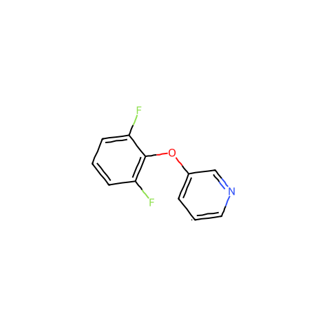 Fc1cccc(F)c1Oc1c[c]cnc1